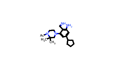 CC(=O)N1CCN(c2cc(C3CCCC3)cc(N)c2C=N)CC1(C)C